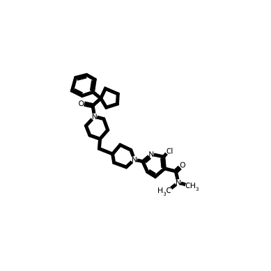 CN(C)C(=O)c1ccc(N2CCC(CC3CCN(C(=O)C4(c5ccccc5)CCCC4)CC3)CC2)nc1Cl